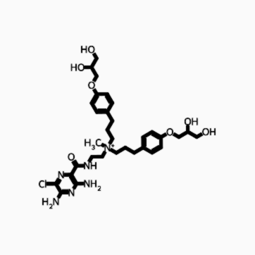 C[N+](CCCc1ccc(OCC(O)CO)cc1)(CCCc1ccc(OCC(O)CO)cc1)CCNC(=O)c1nc(Cl)c(N)nc1N